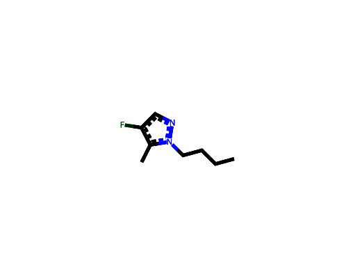 CCCCn1n[c]c(F)c1C